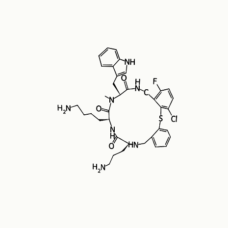 CN1C(=O)[C@H](CCCCN)NC(=O)[C@H](CCCN)NCc2ccccc2Sc2c(Cl)ccc(F)c2CNC(=O)[C@@H]1Cc1c[nH]c2ccccc12